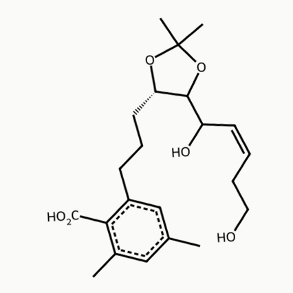 Cc1cc(C)c(C(=O)O)c(CCC[C@@H]2OC(C)(C)OC2C(O)/C=C\CCO)c1